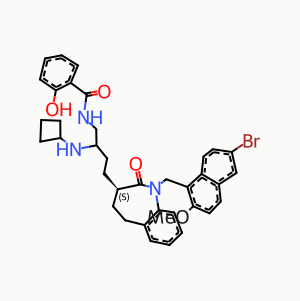 COc1ccc2cc(Br)ccc2c1CN1C(=O)[C@H](CCC(CNC(=O)c2ccccc2O)NC2CCC2)CCc2ccccc21